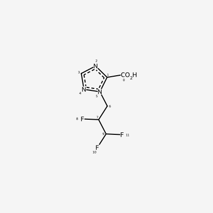 O=C(O)c1ncnn1CC(F)C(F)F